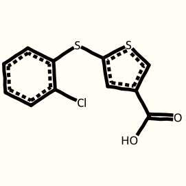 O=C(O)c1csc(Sc2ccccc2Cl)c1